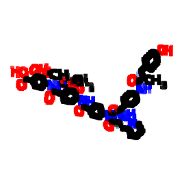 COc1c(NC(=O)c2ccc(NC(=O)c3ccc(NC(=O)[C@H](Cc4ccccn4)NC(=O)c4ccc(NC(=O)/C(C)=C/c5ccc(O)cc5)cc4)cc3)c(OC)c2O)ccc(C(=O)O)c1O